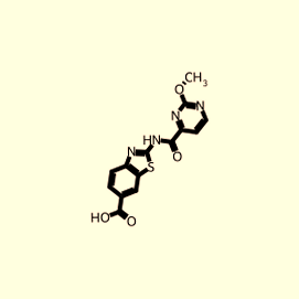 COc1nccc(C(=O)Nc2nc3ccc(C(=O)O)cc3s2)n1